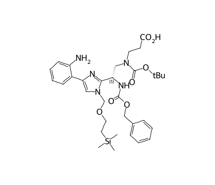 CC(C)(C)OC(=O)N(CCC(=O)O)C[C@H](NC(=O)OCc1ccccc1)c1nc(-c2ccccc2N)cn1COCC[Si](C)(C)C